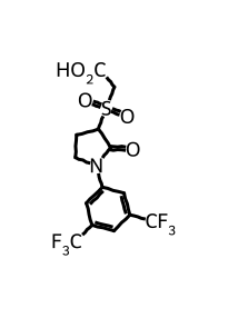 O=C(O)CS(=O)(=O)C1CCN(c2cc(C(F)(F)F)cc(C(F)(F)F)c2)C1=O